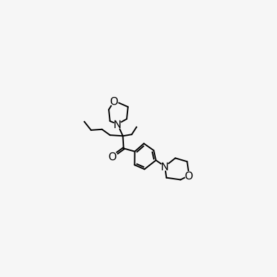 CCCCC(CC)(C(=O)c1ccc(N2CCOCC2)cc1)N1CCOCC1